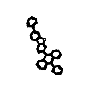 c1ccc(-c2ccc3c(c2)oc2cc(-c4c5ccccc5c(-c5ccccc5)c5ccccc45)ccc23)cc1